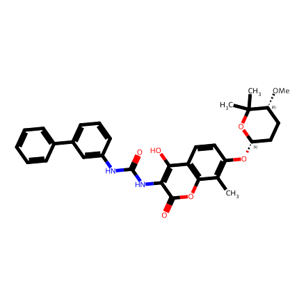 CO[C@@H]1CC[C@H](Oc2ccc3c(O)c(NC(=O)Nc4cccc(-c5ccccc5)c4)c(=O)oc3c2C)OC1(C)C